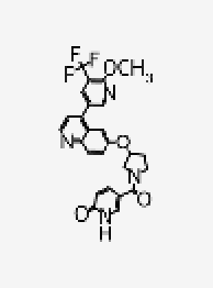 COc1ncc(-c2ccnc3ccc(OC4CCN(C(=O)c5ccc(=O)[nH]c5)C4)cc23)cc1C(F)(F)F